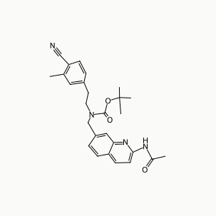 CC(=O)Nc1ccc2ccc(CN(CCc3ccc(C#N)c(C)c3)C(=O)OC(C)(C)C)cc2n1